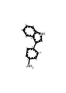 Nc1ccc(-c2[c][nH]c3ccccc23)cc1